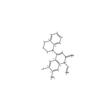 N=Cn1c(=N)nc(N2CCCc3ccccc32)c2cc(F)c(N)cc21